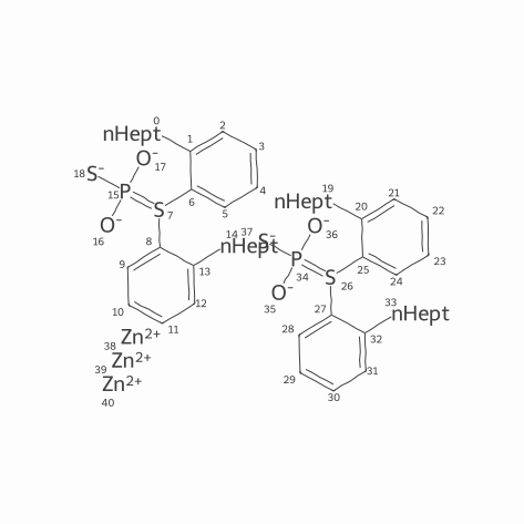 CCCCCCCc1ccccc1S(c1ccccc1CCCCCCC)=P([O-])([O-])[S-].CCCCCCCc1ccccc1S(c1ccccc1CCCCCCC)=P([O-])([O-])[S-].[Zn+2].[Zn+2].[Zn+2]